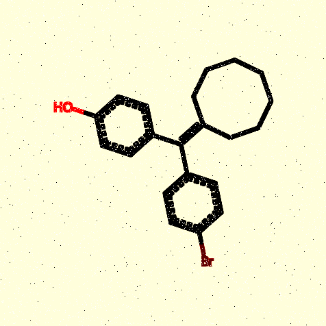 Oc1ccc(C(=C2CCCCCCC2)c2ccc(Br)cc2)cc1